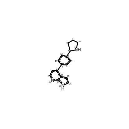 c1cc(-c2ccc(C3CCCN3)cc2)c2cc[nH]c2n1